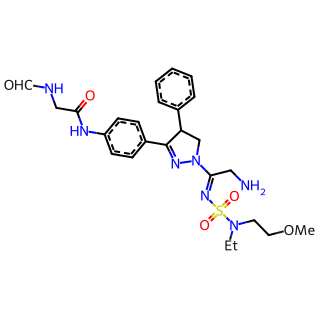 CCN(CCOC)S(=O)(=O)/N=C(\CN)N1CC(c2ccccc2)C(c2ccc(NC(=O)CNC=O)cc2)=N1